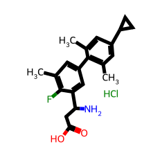 Cc1cc(-c2c(C)cc(C3CC3)cc2C)cc(C(N)CC(=O)O)c1F.Cl